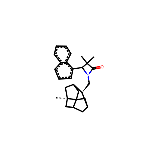 CC1(C)C(=O)N(C[C@H]2C3CC4C[C@@]5(C)CC2CC45C3)C1c1cccc2ccccc12